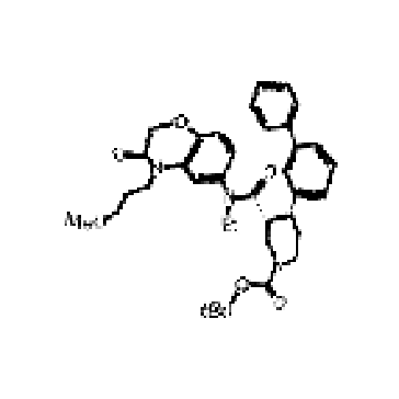 CCN(C(=O)[C@H]1CN(C(=O)OC(C)(C)C)CC[C@@H]1c1cccc(-c2ccccc2)c1)c1ccc2c(c1)N(CCCOC)C(=O)CO2